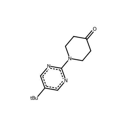 CC(C)(C)c1cnc(N2CCC(=O)CC2)nc1